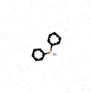 [Zn].c1ccc(Sc2ccccc2)cc1